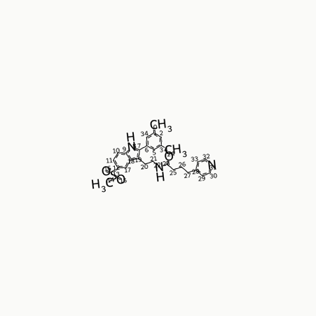 Cc1cc(C)cc(-c2[nH]c3ccc(S(C)(=O)=O)cc3c2CCNC(=O)CCCc2ccncc2)c1